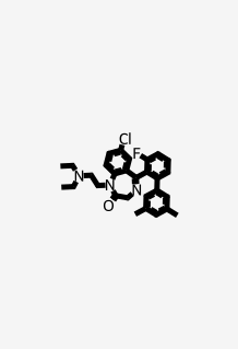 CCN(CC)CCN1C(=O)CN=C(c2c(F)cccc2-c2cc(C)cc(C)c2)c2cc(Cl)ccc21